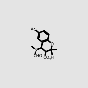 CC(=O)c1ccc2c(c1)C(N(C)C=O)C(C(=O)O)C(C)(C)O2